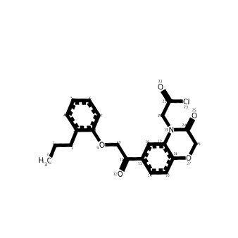 CCCc1ccccc1OCC(=O)c1ccc2c(c1)N(CC(=O)Cl)C(=O)CO2